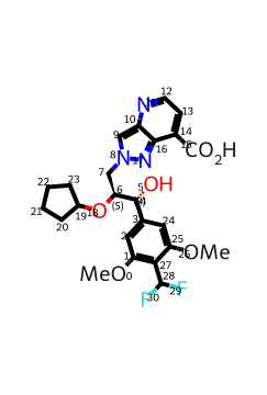 COc1cc([C@@H](O)[C@H](Cn2cc3nccc(C(=O)O)c3n2)OC2CCCC2)cc(OC)c1C(F)F